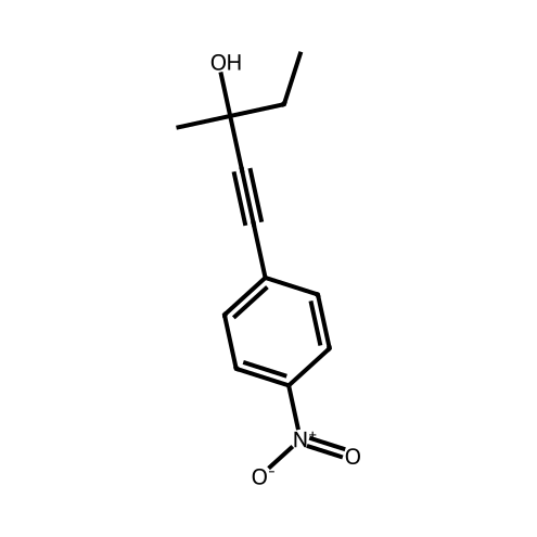 CCC(C)(O)C#Cc1ccc([N+](=O)[O-])cc1